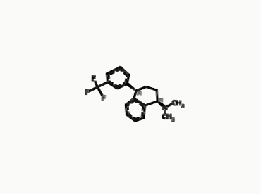 CN(C)[C@@H]1CC[C@H](c2cccc(C(F)(F)F)c2)c2ccccc21